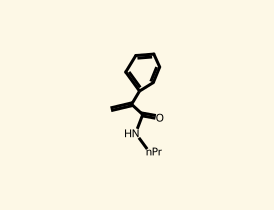 C=C(C(=O)NCCC)c1ccccc1